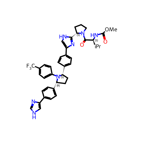 COC(=O)N[C@H](C(=O)N1CCC[C@H]1c1nc(-c2ccc([C@@H]3CC[C@H](c4ccc(-c5c[nH]cn5)cc4)N3c3ccc(C(F)(F)F)cc3)cc2)c[nH]1)C(C)C